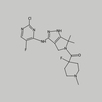 CN1CCC(F)(C(=O)N2Cc3c(Nc4nc(Cl)ncc4F)n[nH]c3C2(C)C)CC1